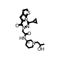 CC(O)CN1CCC[C@@H](NC(=O)Cn2nc(C3CC3)n3c(cc4ccsc43)c2=O)C1